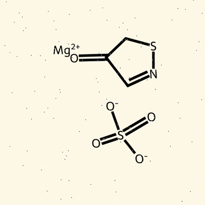 O=C1C=NSC1.O=S(=O)([O-])[O-].[Mg+2]